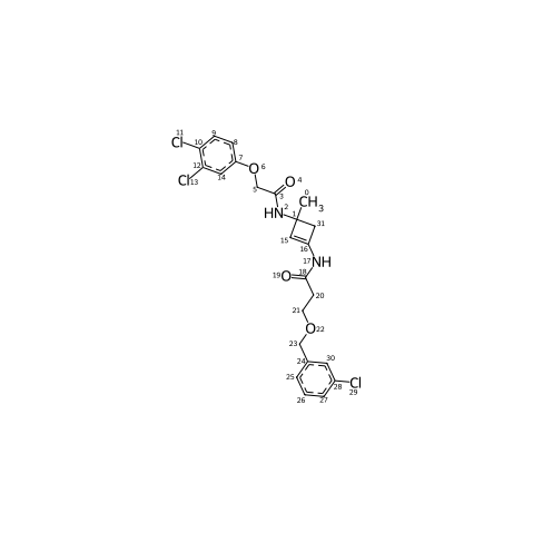 CC1(NC(=O)COc2ccc(Cl)c(Cl)c2)C=C(NC(=O)CCOCc2cccc(Cl)c2)C1